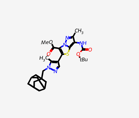 COC(=O)c1c(-c2cnn(CC34CC5CC(CC(C5)C3)C4)c2C)sc2c(NC(=O)OC(C)(C)C)c(C)nn12